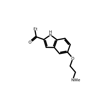 CCC(=O)c1cc2cc(OCCNC)ccc2[nH]1